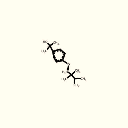 CC(C)C(C)(C)[SiH2]Oc1ccc(C(C)(C)O)cc1